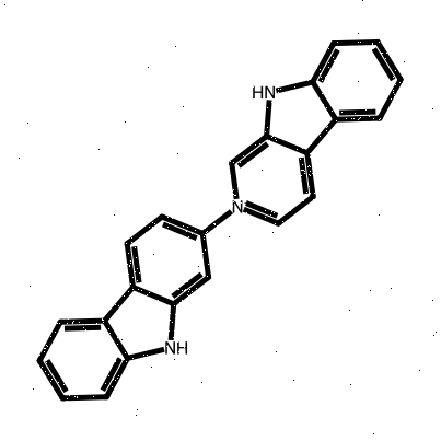 c1ccc2c(c1)[nH]c1cc(-[n+]3ccc4c(c3)[nH]c3ccccc34)ccc12